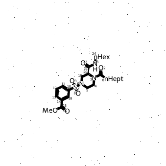 CCCCCCCC(=O)N1CCN(S(=O)(=O)c2cccc(C(=O)OC)c2)C[C@H]1C(=O)NCCCCCC